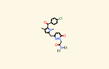 CCN(CC)C(=O)Cn1nc(Cc2cc(C)c(C(=O)c3ccc(Cl)cc3)n2C)ccc1=O